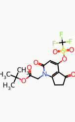 CC(C)(C)OC(=O)Cn1c2c(c(OS(=O)(=O)C(F)(F)F)cc1=O)C(=O)CC2